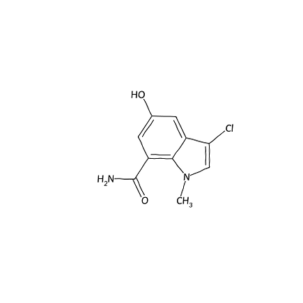 Cn1cc(Cl)c2cc(O)cc(C(N)=O)c21